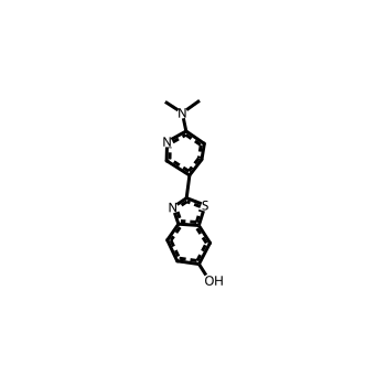 CN(C)c1ccc(-c2nc3ccc(O)cc3s2)cn1